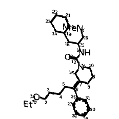 CCOCCCCC(=C1CCCN(C(=O)NC(CNC)CC2CCCCC2)C1)c1ccccc1